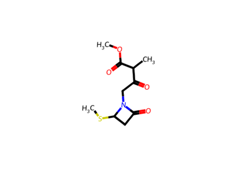 COC(=O)C(C)C(=O)CN1C(=O)CC1SC